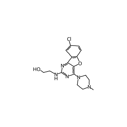 CN1CCN(c2nc(NCCO)nc3c2oc2ccc(Cl)cc23)CC1